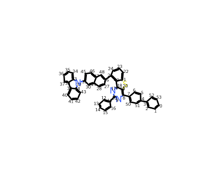 c1ccc(-c2ccc(-c3nc(-c4ccccc4)nc4c3sc3cccc(-c5ccc6cc(-n7c8ccccc8c8ccccc87)ccc6c5)c34)cc2)cc1